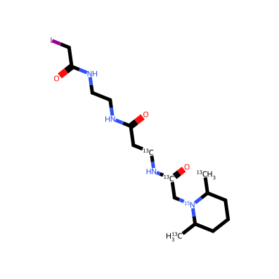 [13CH3]C1CCCC([13CH3])[15N]1C[13C](=O)N[13CH2]CC(=O)NCCNC(=O)CI